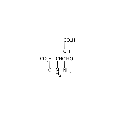 NC=O.NC=O.O=C(O)O.O=C(O)O